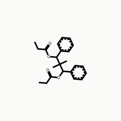 CCC(=O)OC(c1ccccc1)C(C)(C)C(OC(=O)CC)c1ccccc1